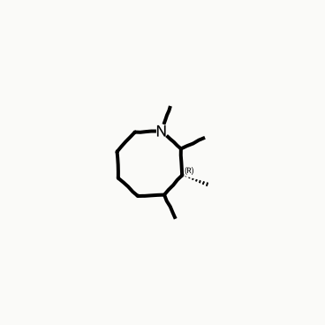 CC1CCCCN(C)C(C)[C@@H]1C